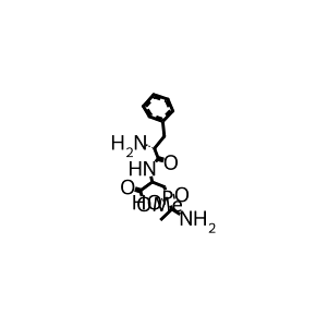 COC(=O)C(CP(=O)(O)C(C)N)NC(=O)[C@H](N)Cc1ccccc1